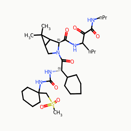 CCCNC(=O)C(=O)C(CCC)NC(=O)[C@@H]1C2C(CN1C(=O)[C@@H](NC(=O)NC1(CS(C)(=O)=O)CCCCC1)C1CCCCC1)C2(C)C